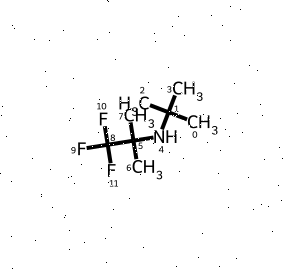 CC(C)(C)NC(C)(C)C(F)(F)F